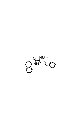 CNC(COCc1ccccc1)C(=O)NC1CCCc2ccccc21